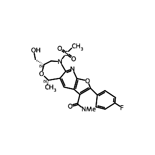 CNC(=O)c1c(-c2ccc(F)cc2)oc2nc3c(cc12)[C@H](C)O[C@H](CO)CN3S(C)(=O)=O